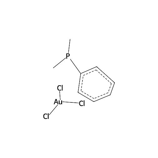 CP(C)c1ccccc1.[Cl][Au]([Cl])[Cl]